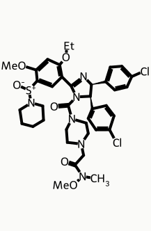 CCOc1cc(OC)c([S+]([O-])N2CCCCC2)cc1C1=N[C@@H](c2ccc(Cl)cc2)[C@@H](c2ccc(Cl)cc2)N1C(=O)N1CCN(CC(=O)N(C)OC)CC1